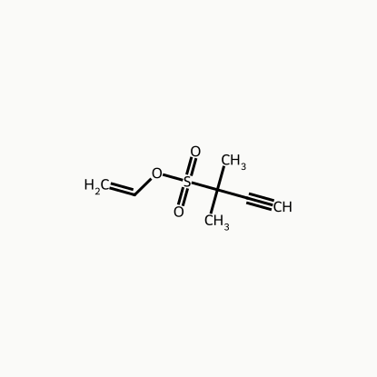 C#CC(C)(C)S(=O)(=O)OC=C